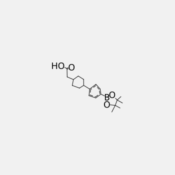 CC1(C)OB(c2ccc(C3CCC(CC(=O)O)CC3)cc2)OC1(C)C